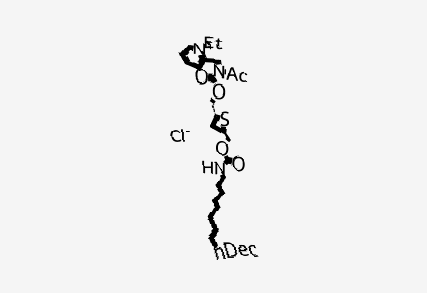 CCCCCCCCCCCCCCCCCCNC(=O)OC[C@H]1C[C@H](COC(=O)N(Cc2cccc[n+]2CC)C(C)=O)S1.[Cl-]